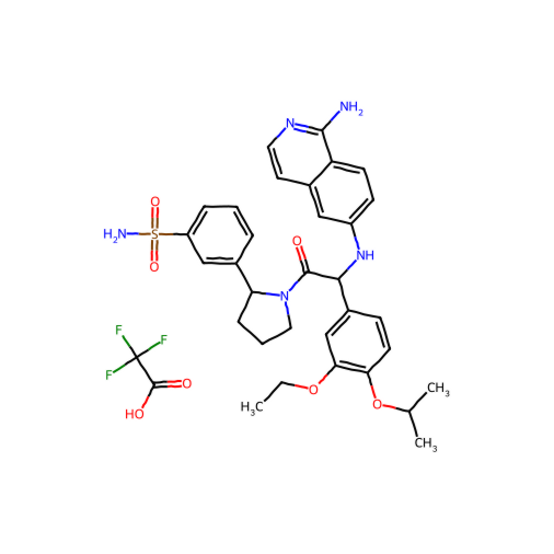 CCOc1cc(C(Nc2ccc3c(N)nccc3c2)C(=O)N2CCCC2c2cccc(S(N)(=O)=O)c2)ccc1OC(C)C.O=C(O)C(F)(F)F